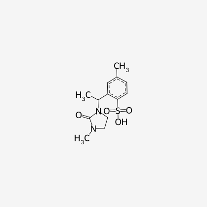 Cc1ccc(S(=O)(=O)O)c(C(C)N2CCN(C)C2=O)c1